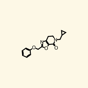 O=C1c2oc(COc3ccccc3)nc2CCN1CC1CC1